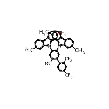 Cc1ccc2c3ccc(C)cc3n(-c3cc(C#N)c(-c4ccc(C(F)(F)F)cc4C(F)(F)F)cc3-n3c4cc(C)ccc4c4ccc(C)cc43)c2c1